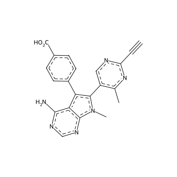 C#Cc1ncc(-c2c(-c3ccc(C(=O)O)cc3)c3c(N)ncnc3n2C)c(C)n1